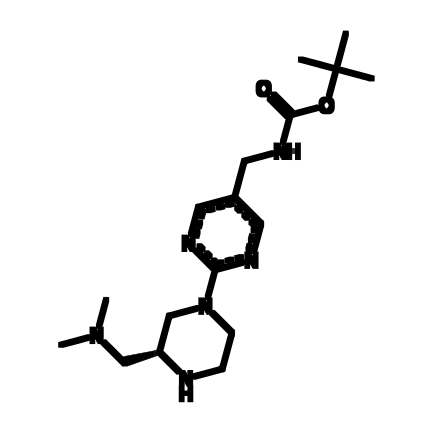 CN(C)C[C@H]1CN(c2ncc(CNC(=O)OC(C)(C)C)cn2)CCN1